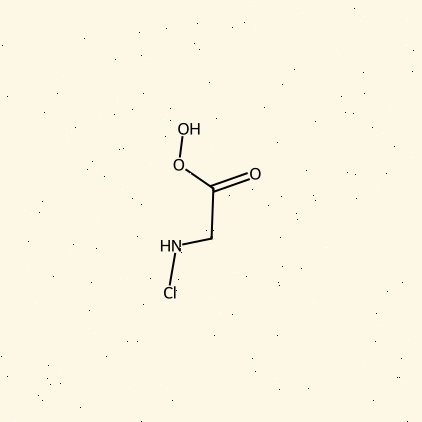 O=C(CNCl)OO